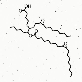 CCCCCCCCC1OC1CCCCCCCC(=O)OC(CCCCC)C(CCCCC(=O)O)CCC1OC1CCCCCCCC